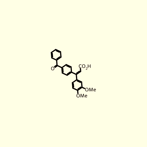 COc1ccc(C(=CC(=O)O)c2ccc(C(=O)c3ccccc3)cc2)cc1OC